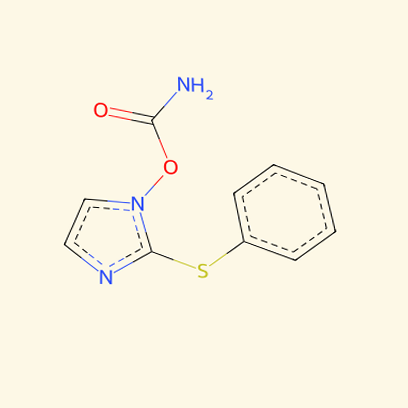 NC(=O)On1ccnc1Sc1ccccc1